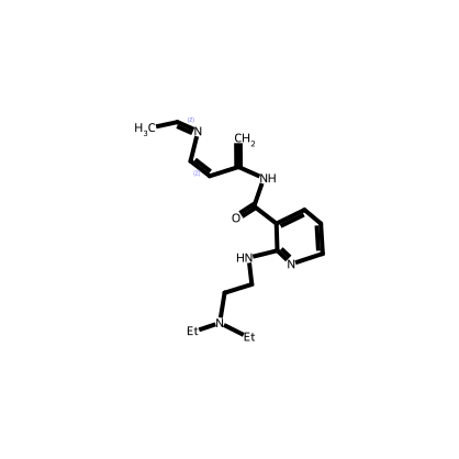 C=C(/C=C\N=C/C)NC(=O)c1cccnc1NCCN(CC)CC